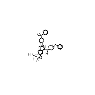 COc1cc2nc(N3CCC(C(=O)c4ccccc4)CC3)nc(NC3CCN(Cc4ccccc4)CC3)c2cc1OC